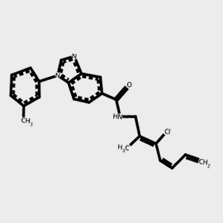 C=C/C=C\C(Cl)=C(/C)CNC(=O)c1ccc2c(c1)ncn2-c1cccc(C)c1